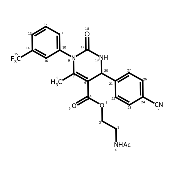 CC(=O)NCCOC(=O)C1=C(C)N(c2cccc(C(F)(F)F)c2)C(=O)NC1c1ccc(C#N)cc1